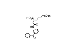 CCCCCCCCCCCCCCC(CC(=O)Nc1cccc(C(=O)c2ccccc2)c1)C(=O)O